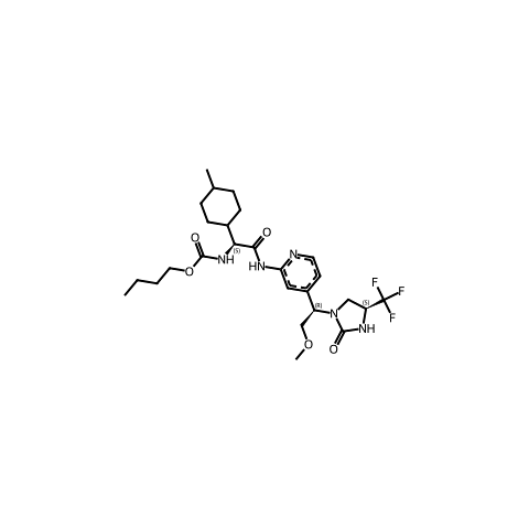 CCCCOC(=O)N[C@H](C(=O)Nc1cc([C@H](COC)N2C[C@@H](C(F)(F)F)NC2=O)ccn1)C1CCC(C)CC1